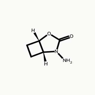 NN1C(=O)O[C@H]2CC[C@H]21